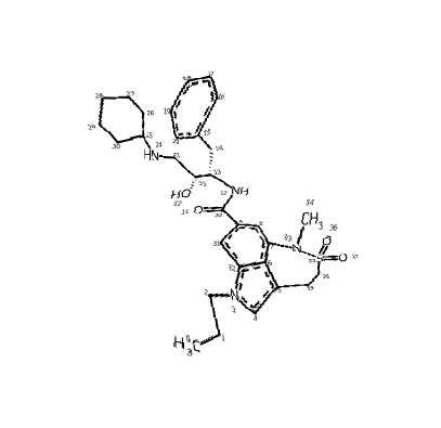 CCCn1cc2c3c(cc(C(=O)N[C@@H](Cc4ccccc4)[C@H](O)CNC4CCCCC4)cc31)N(C)S(=O)(=O)CC2